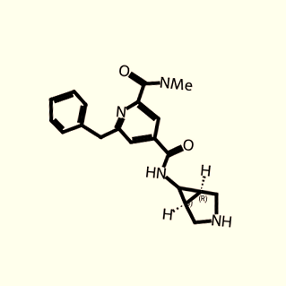 CNC(=O)c1cc(C(=O)NC2[C@H]3CNC[C@@H]23)cc(Cc2ccccc2)n1